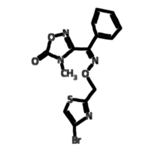 Cn1c(C(=NOCc2nc(Br)cs2)c2ccccc2)noc1=O